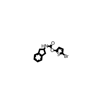 O=C(NC1Cc2ccccc2C1)Oc1ccc(Br)s1